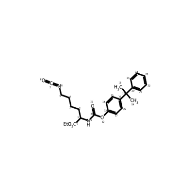 CCOC(=O)C(CCCCN=C=O)NC(=O)Oc1ccc(C(C)(C)c2ccccc2)cc1